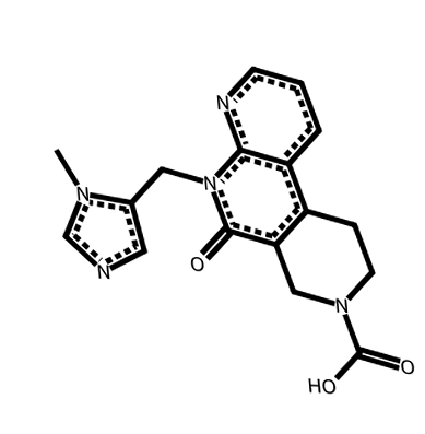 Cn1cncc1Cn1c(=O)c2c(c3cccnc31)CCN(C(=O)O)C2